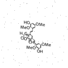 COc1cc(O)c(OC)c(C=Cc2cc(C=Cc3cc(OC)cc(O)c3OC)[n+](C)c(=O)n2C)c1.[Cl-]